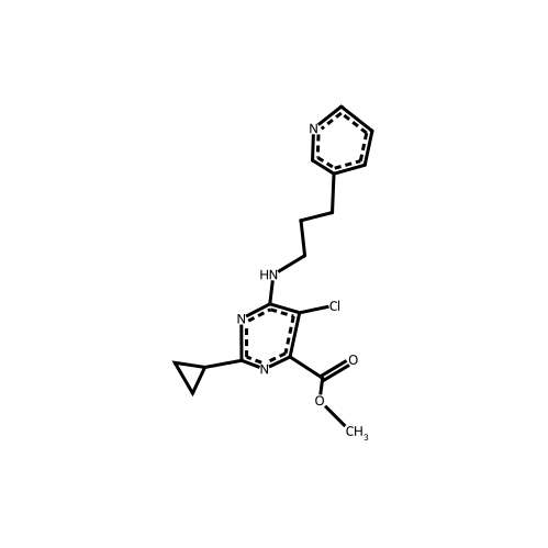 COC(=O)c1nc(C2CC2)nc(NCCCc2cccnc2)c1Cl